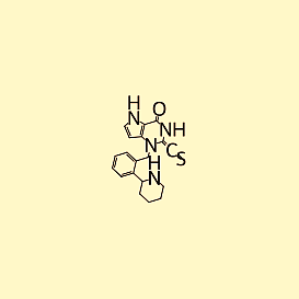 O=C1NC(=C=S)N(Cc2ccccc2C2CCCCN2)c2cc[nH]c21